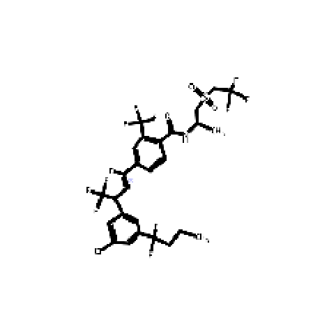 CCCC(F)(F)c1cc(Cl)cc(C(/C=C(\F)c2ccc(C(=O)NC(C)CS(=O)(=O)CC(F)(F)F)c(C(F)(F)F)c2)C(F)(F)F)c1